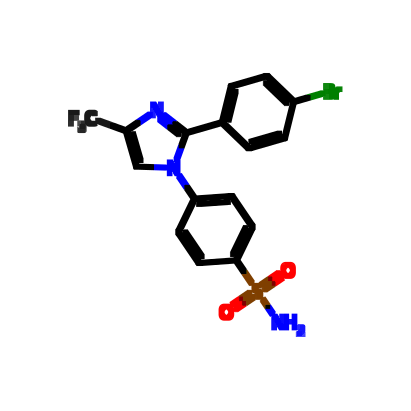 NS(=O)(=O)c1ccc(-n2cc(C(F)(F)F)nc2-c2ccc(Br)cc2)cc1